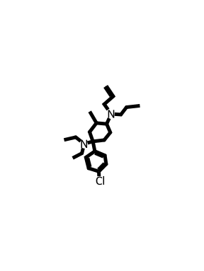 C=CCN(CCC)C1CCC(c2ccc(Cl)cc2)(N(CC)CC)CC1C